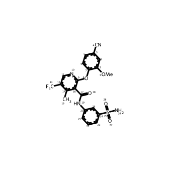 COc1cc(C#N)ccc1Oc1ncc(C(F)(F)F)c(C)c1C(=O)Nc1cccc(S(N)(=O)=O)c1